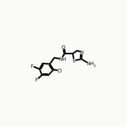 NC1=NCC(C(=O)NCc2cc(F)c(F)cc2Cl)S1